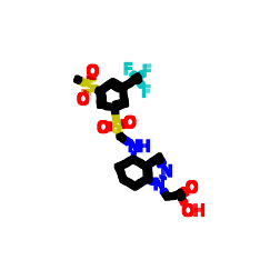 CS(=O)(=O)c1cc(C(F)(F)F)cc(S(=O)(=O)CN[C@@H]2CCCc3c2cnn3CC(=O)O)c1